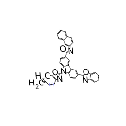 C=C/C=C\c1nc(-n2c3ccc(-c4nc5ccccc5o4)cc3c3cc(-c4nc5ccc6ccccc6c5o4)ccc32)oc1C